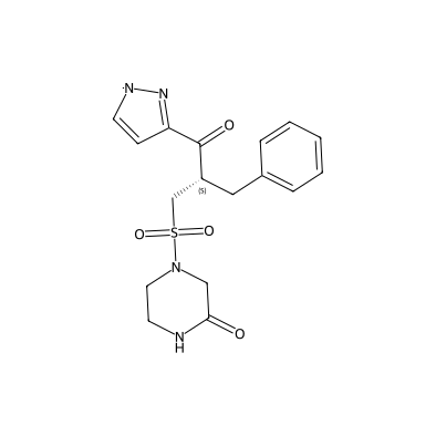 O=C1CN(S(=O)(=O)C[C@@H](Cc2ccccc2)C(=O)C2=N[N]C=C2)CCN1